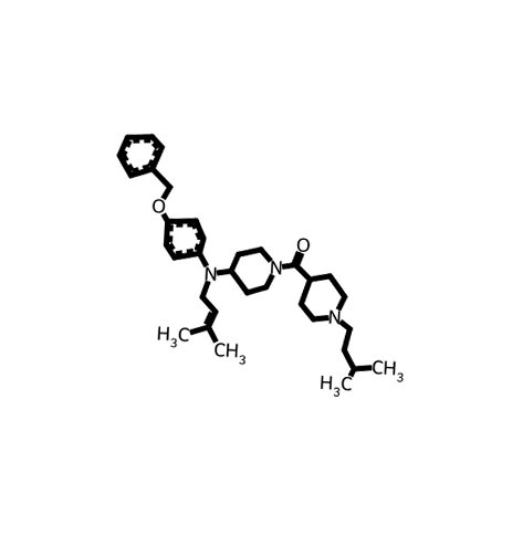 CC(C)=CCN(c1ccc(OCc2ccccc2)cc1)C1CCN(C(=O)C2CCN(CCC(C)C)CC2)CC1